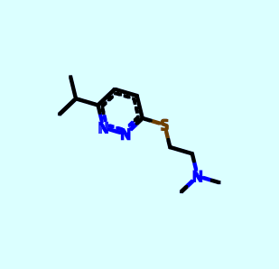 CC(C)c1ccc(SCCN(C)C)nn1